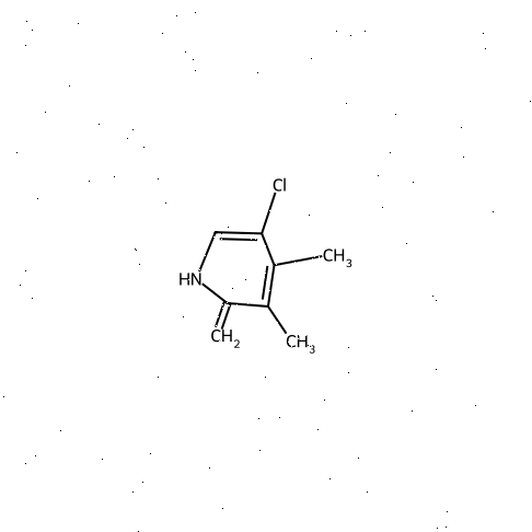 C=C1NC=C(Cl)C(C)=C1C